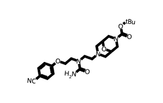 CC(C)(C)OC(=O)N1CC2CN(CCN(CCOc3ccc(C#N)cc3)C(N)=O)CC(C1)O2